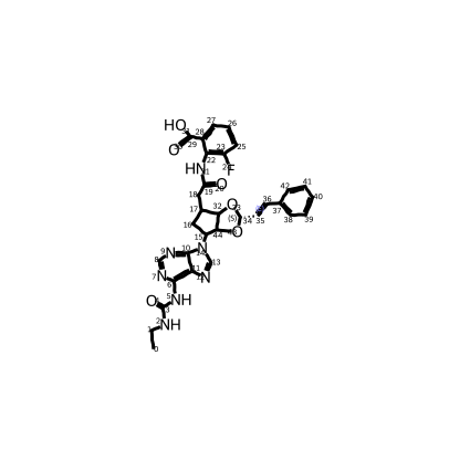 CCNC(=O)Nc1ncnc2c1ncn2C1CC(CC(=O)Nc2c(F)cccc2C(=O)O)C2O[C@H](/C=C/c3ccccc3)OC21